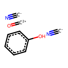 Oc1ccccc1.[C+2]=O.[C-]#N.[C-]#N